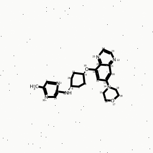 Cc1cnc(N[C@H]2CC[C@@H](Oc3cc(N4CCOCC4)cc4nccnc34)CC2)cn1